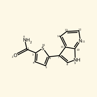 NC(=O)c1ccc(-c2c[nH]c3ncccc23)s1